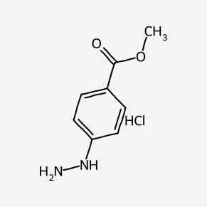 COC(=O)c1ccc(NN)cc1.Cl